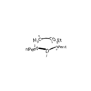 CCCCCOCCCCC.CCOC(C)=O